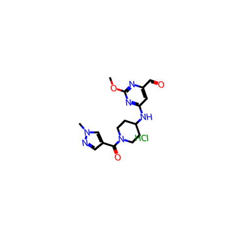 COc1nc(C=O)cc(NC2CCN(C(=O)c3cnn(C)c3)CC2)n1.Cl